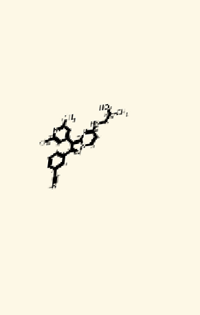 Cc1cc(-c2c(-c3cccc(C#N)c3)nn3ccc(NC[C@@H](C)O)nc23)cc(Cl)n1